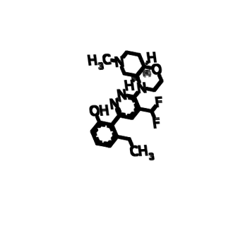 CCc1cccc(O)c1-c1cc(C(F)F)c(N2CCO[C@@H]3CCN(C)C[C@@H]32)nn1